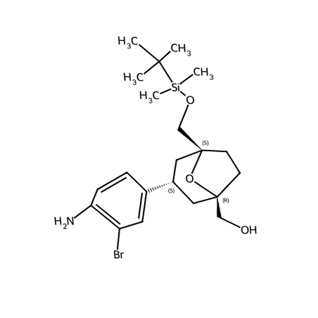 CC(C)(C)[Si](C)(C)OC[C@]12CC[C@](CO)(C[C@H](c3ccc(N)c(Br)c3)C1)O2